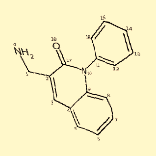 NCc1cc2ccccc2n(-c2ccccc2)c1=O